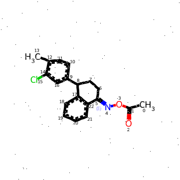 CC(=O)O/N=C1\CCC(c2ccc(C)c(Cl)c2)c2ccccc21